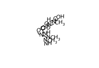 CC(C)N/C(=N\C=N)c1cn2c(n1)-c1cc(S(=O)(=O)N3CCN(C(C)(C)CO)CC3)ccc1OCC2